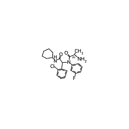 C[C@@H](N)C(=O)N(c1cccc(F)c1)C(C(=O)NC1CCCCC1)c1ccccc1Cl